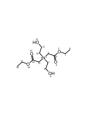 CCOC(=O)C[N+](CCO)(CCO)CC(=O)OCC